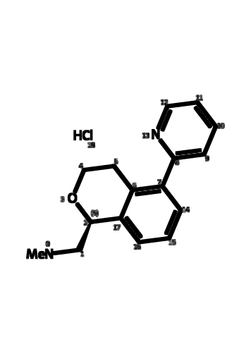 CNC[C@H]1OCCc2c(-c3ccccn3)cccc21.Cl